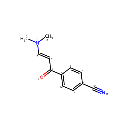 CN(C)C=CC(=O)c1ccc(C#N)cc1